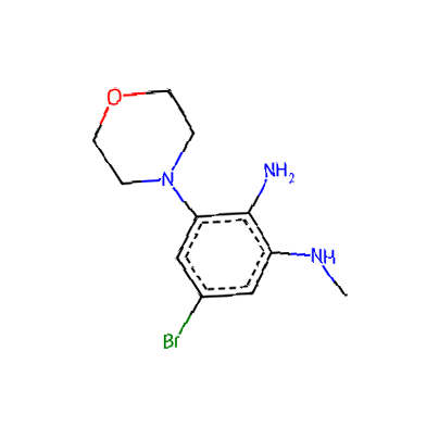 CNc1cc(Br)cc(N2CCOCC2)c1N